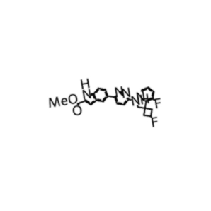 COC(=O)c1cc2cc(-c3ccc(NCC4(c5ncccc5F)CC(F)C4)nn3)ccc2[nH]1